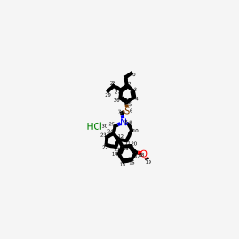 CCc1ccc(SCN2CCCC3(c4cccc(OC)c4)CCCC3C2)cc1CC.Cl